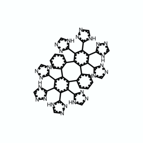 c1ccc2c(c1)-c1c(-c3nnc[nH]3)c(-c3nnc[nH]3)c(-c3nnc[nH]3)c(-c3nnc[nH]3)c1-c1ccccc1-c1c(-c3nnc[nH]3)c(-c3nnc[nH]3)c(-c3nnc[nH]3)c(-c3nnc[nH]3)c1-2